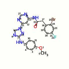 COc1ccc(Nc2ncn(-c3cc(NC(=O)Cc4ccc(F)cc4Br)ncn3)n2)cc1